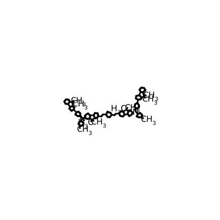 Cc1ccc(N(c2ccc(-c3ccc4c(c3)C(C)(C)c3ccccc3-4)cc2)c2ccc3c(c2)C(C)(C)c2cc(/C=C/c4ccc(/C=C/c5ccc6c(c5)C(C)(C)c5cc(N(c7ccc(C)cc7)c7ccc(-c8ccc9c(c8)C(C)(C)c8ccccc8-9)cc7)ccc5-6)cc4)ccc2-3)cc1